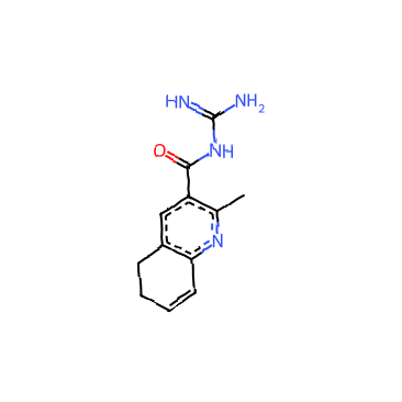 Cc1nc2c(cc1C(=O)NC(=N)N)CCC=C2